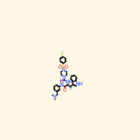 C[C@@H](c1c[nH]c2ccccc12)[C@@H](NC(=O)N1CCN(S(=O)(=O)c2ccc(F)cc2)CC1)C(=O)Nc1cccc(CN(C)C)c1